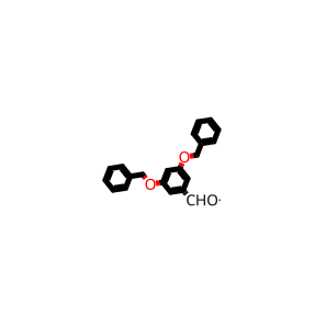 O=[C]c1cc(OCc2ccccc2)cc(OCc2ccccc2)c1